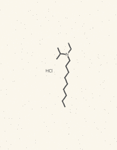 CCCCCCCCCN(CC)C(C)C.Cl